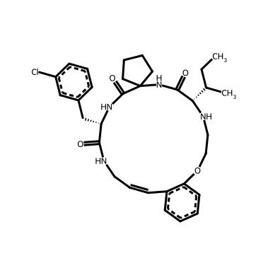 CCC(C)[C@@H]1NCCOc2ccccc2/C=C\CNC(=O)[C@H](Cc2cccc(Cl)c2)NC(=O)C2(CCCC2)NC1=O